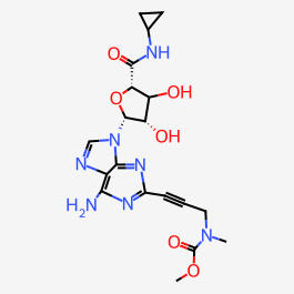 COC(=O)N(C)CC#Cc1nc(N)c2ncn([C@@H]3O[C@H](C(=O)NC4CC4)C(O)[C@@H]3O)c2n1